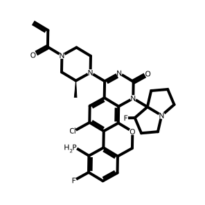 C=CC(=O)N1CCN(c2nc(=O)n(C34CCCN3CCC4F)c3c4c(c(Cl)cc23)-c2c(ccc(F)c2P)CO4)[C@@H](C)C1